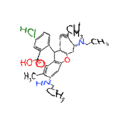 CCN=C1CC2=C(C=C1C)C(c1ccccc1C(=O)O)c1cc(C)c(NCC)cc1O2.Cl